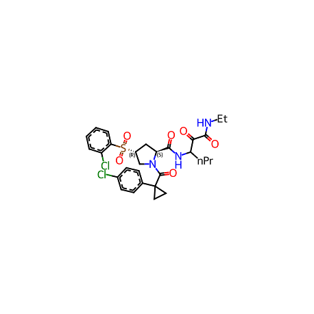 CCCC(NC(=O)[C@@H]1C[C@@H](S(=O)(=O)c2ccccc2Cl)CN1C(=O)C1(c2ccc(Cl)cc2)CC1)C(=O)C(=O)NCC